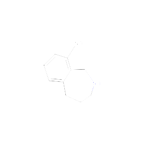 O=[N+]([O-])c1cccc2c1CNCCC2